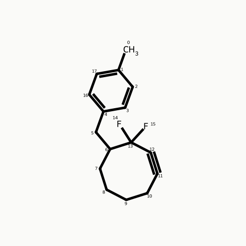 Cc1ccc(CC2CCCCC#CC2(F)F)cc1